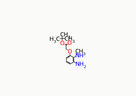 CNc1c(N)cccc1OCC(=O)OC(C)(C)C